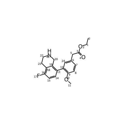 CCOC(=O)Cc1ccc(OC)c(-c2ccc(F)c3c2CNCC3)c1